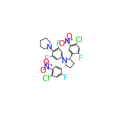 O=[N+]([O-])c1cc([C@H]2CC[C@H](c3cc([N+](=O)[O-])c(Cl)cc3F)N2c2cc(F)c(N3CCCCC3)c(F)c2)c(F)cc1Cl